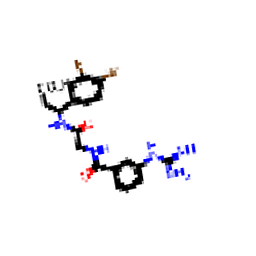 N=C(N)Nc1cccc(C(=O)NCC(=O)NC(CC(=O)O)c2ccc(Br)c(Br)c2)c1